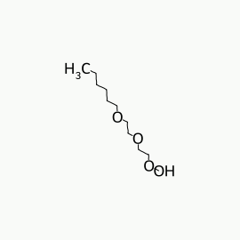 CCCCCCOCCOCCOO